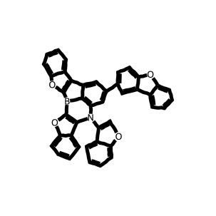 c1ccc2c(N3c4cc(-c5ccc6oc7ccccc7c6c5)cc5c4B(c4oc6ccccc6c4-5)c4oc5ccccc5c43)coc2c1